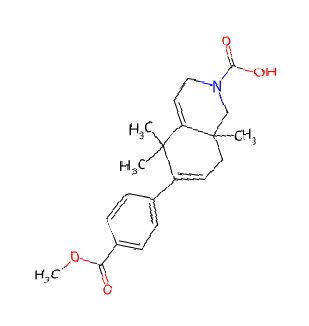 COC(=O)c1ccc(C2=CCC3(C)CN(C(=O)O)CC=C3C2(C)C)cc1